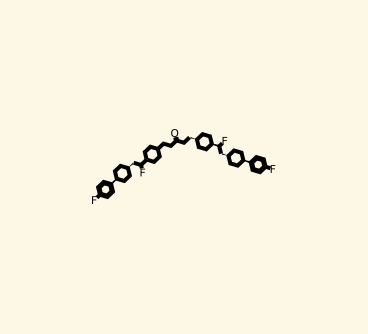 O=C(CCC1CCC(C(F)C[C@H]2CC[C@H](c3ccc(F)cc3)CC2)CC1)CC[C@H]1CC[C@H](C(F)C[C@H]2CC[C@H](c3ccc(F)cc3)CC2)CC1